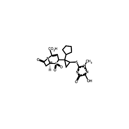 Cn1nc(O)c(=O)nc1SC1CC1(C1CCCC1)C1C=C(C(=O)O)N2C(=O)C[C@@H]2S1(=O)=O